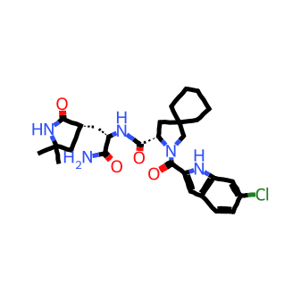 CC1(C)C[C@@H](C[C@H](NC(=O)[C@@H]2CC3(CCCCC3)CN2C(=O)c2cc3ccc(Cl)cc3[nH]2)C(N)=O)C(=O)N1